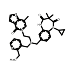 COCc1ncccc1CN(CCn1cc(C)c2occc2c1=O)Cc1ccc2c(c1)NC(=O)C(C)(C)C(=O)N2C1CC1